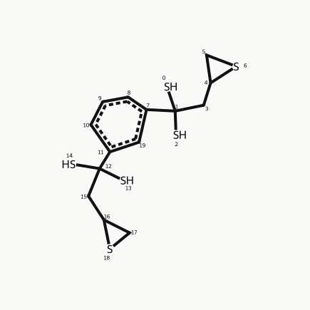 SC(S)(CC1CS1)c1cccc(C(S)(S)CC2CS2)c1